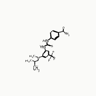 CC(C)CN(C)c1cc(NC(=S)Nc2ccc(C(N)=O)cc2)cc(C(F)(F)F)c1